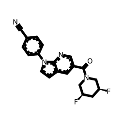 N#Cc1ccc(-n2ccc3cc(C(=O)N4C[C@H](F)C[C@H](F)C4)cnc32)cc1